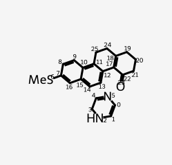 C1=CNCC=N1.CSc1ccc2c3c(ccc2c1)C1=C(CCCC1=O)CC3